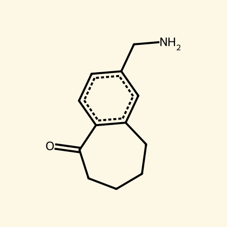 NCc1ccc2c(c1)CCCCC2=O